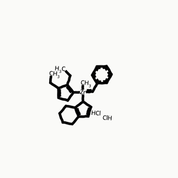 CCC1=CC[C]([Zr]([CH3])(=[CH]c2ccccc2)[CH]2C=CC3=C2CCCC3)=C1CC.Cl.Cl